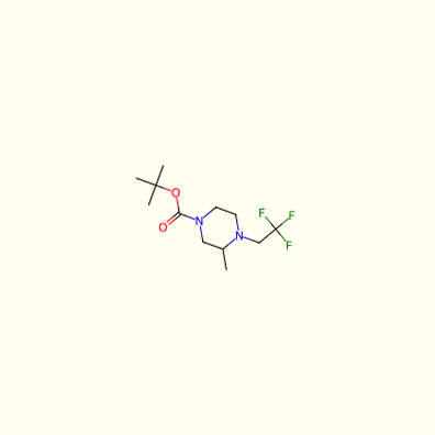 CC1CN(C(=O)OC(C)(C)C)CCN1CC(F)(F)F